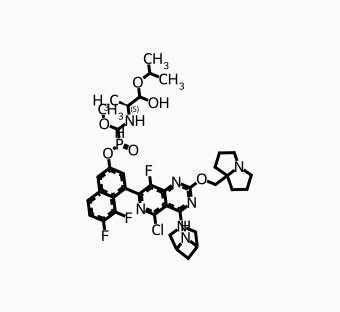 COC(N[C@@H](C)C(O)OC(C)C)[PH](=O)Oc1cc(-c2nc(Cl)c3c(N4CC5CC(C4)N5)nc(OCC45CCCN4CCC5)nc3c2F)c2c(F)c(F)ccc2c1